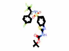 CC(C)(C)OC(=O)Nc1nc2ccc(S(=O)(=O)N[C@H](c3ccc(F)cc3)C(F)(F)F)cc2s1